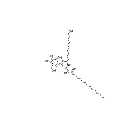 CCCCCCCCCCCCCC[C@@H](O)[C@@H](O)[C@H](CO[C@H]1OC(CO)[C@H](O)[C@H](O)[C@H]1O)NC(=O)CCCCCCCCCCS